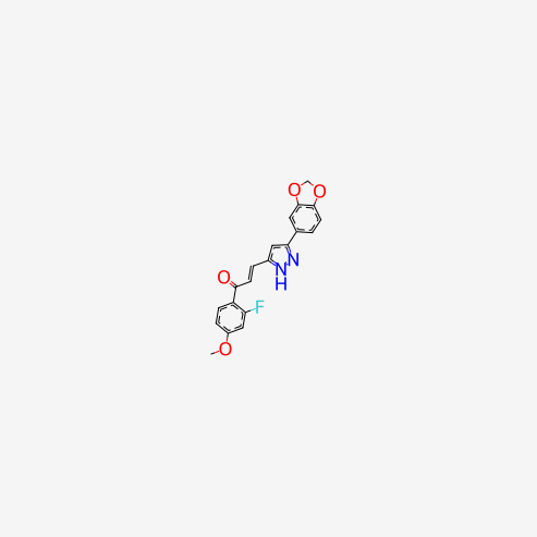 COc1ccc(C(=O)/C=C/c2cc(-c3ccc4c(c3)OCO4)n[nH]2)c(F)c1